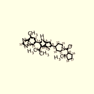 Cc1cc(-c2[nH]c3cc(C4CCN(C(=O)[C@H]5CCCN5C)CC4)sc3c2C(C)C)cn2ncnc12